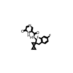 O=C(NCC1(Cc2ccc(F)cc2F)CC12CC2)c1cncc(=O)[nH]1